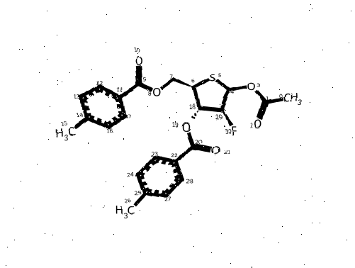 CC(=O)OC1S[C@H](COC(=O)c2ccc(C)cc2)[C@@H](OC(=O)c2ccc(C)cc2)[C@@H]1F